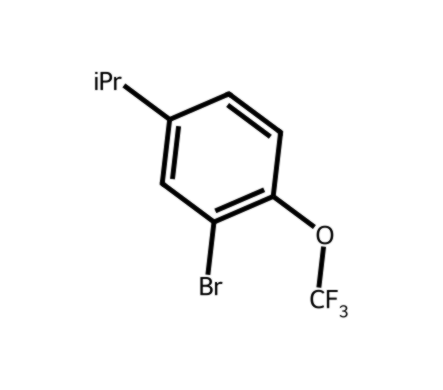 CC(C)c1ccc(OC(F)(F)F)c(Br)c1